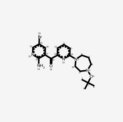 CC(C)(C)ON1CCCN(c2cccc(C(=O)c3cc(Br)cnc3N)n2)CC1